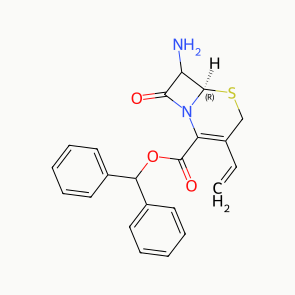 C=CC1=C(C(=O)OC(c2ccccc2)c2ccccc2)N2C(=O)C(N)[C@H]2SC1